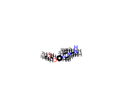 [2H]C([2H])([2H])NC([2H])([2H])C([2H])([2H])N1C([2H])([2H])C([2H])([2H])N(c2ccc(OC([2H])([2H])C([2H])([2H])OC([2H])([2H])[2H])cc2)C([2H])([2H])C1([2H])[2H]